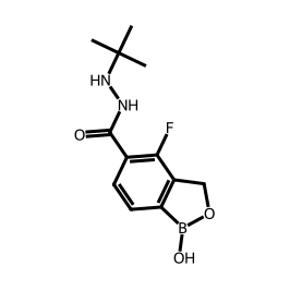 CC(C)(C)NNC(=O)c1ccc2c(c1F)COB2O